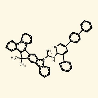 CC1(C)c2cc3c4ccccc4n(C(N)NC4NC=C(c5ccc(-c6ccccc6)cc5)C=C4c4ccccc4)c3cc2-c2c1c1ccccc1c1ccccc21